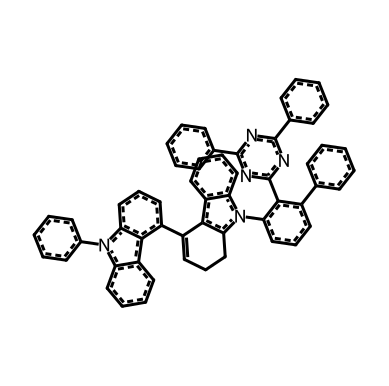 C1=C(c2cccc3c2c2ccccc2n3-c2ccccc2)c2c(n(-c3cccc(-c4ccccc4)c3-c3nc(-c4ccccc4)nc(-c4ccccc4)n3)c3ccccc23)CC1